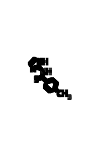 Cc1ccc(C(=S)Nc2ncc[nH]2)cc1